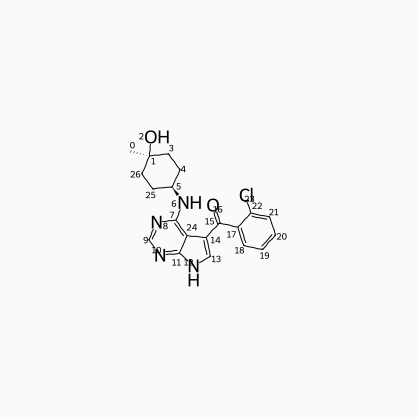 C[C@]1(O)CC[C@@H](Nc2ncnc3[nH]cc(C(=O)c4ccccc4Cl)c23)CC1